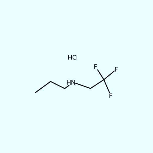 CCCNCC(F)(F)F.Cl